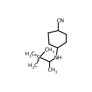 CC(NC1CCC(C#N)CC1)[Si](C)(C)C